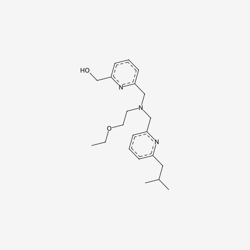 CCOCCN(Cc1cccc(CO)n1)Cc1cccc(CC(C)C)n1